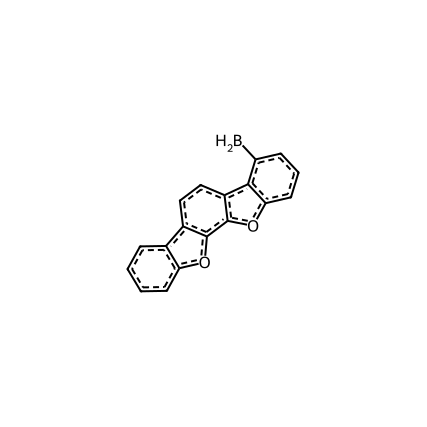 Bc1cccc2oc3c(ccc4c5ccccc5oc43)c12